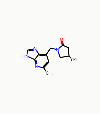 CCCC1CC(=O)N(Cc2cc(C)nc3[nH]cnc23)C1